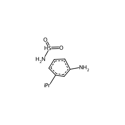 CC(C)c1cccc(N)c1.N[SH](=O)=O